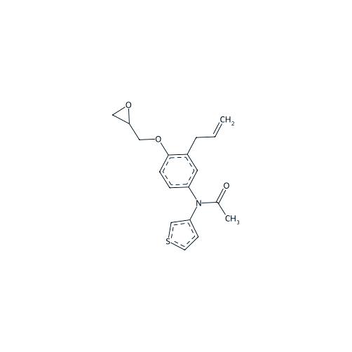 C=CCc1cc(N(C(C)=O)c2ccsc2)ccc1OCC1CO1